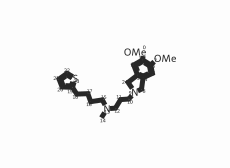 COc1cc2c(cc1OC)CN(CCCN(C)CCCCc1cccs1)C2